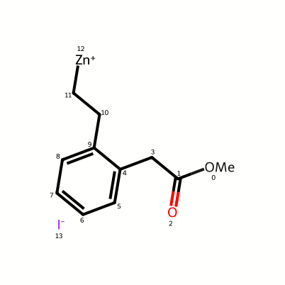 COC(=O)Cc1ccccc1C[CH2][Zn+].[I-]